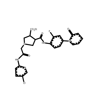 CCOC(=O)C1CN(CC(=O)Nc2ccc(Cl)cn2)CC1C(=O)Nc1ccc(-n2ccccc2=O)cc1F